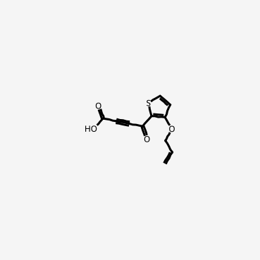 C=CCOc1ccsc1C(=O)C#CC(=O)O